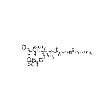 COCCOCCC(=O)NCCCCCC(=O)NCCCC[C@@H](C(=O)NCC[C@H](NC(=O)C1CCCN1Cc1ccccc1)C(=O)O)N(C)C(=O)Cc1ccc(NC(=O)Nc2ccccc2C)cc1